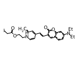 C=C/C=C(\C=C/NCCOC(=O)CI)/C=C/c1cc2ccc(N(CC)CC)cc2oc1=O